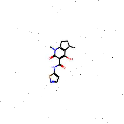 CC1CCc2c1c(O)c(C(=O)Nc1ccns1)c(=O)n2C